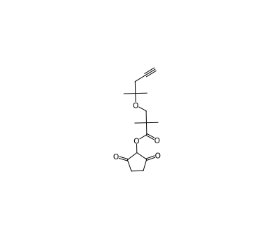 C#CCC(C)(C)OCC(C)(C)C(=O)OC1C(=O)CCC1=O